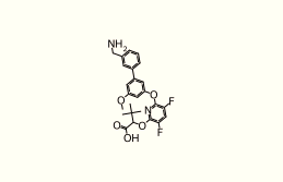 COc1cc(Oc2nc(OC(C(=O)O)C(C)(C)C)c(F)cc2F)cc(-c2cccc(CN)c2)c1